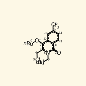 CCCCOc1c(CCl)n(CC(C)(C)C)c(=O)c2ccc(C(F)(F)F)cc12